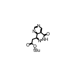 CC(C)(C)OC(=O)Cc1n[nH]c(=O)c2cncnc12